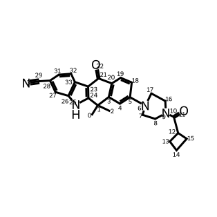 CC1(C)c2cc(N3CCN(C(=O)C4CCC4)CC3)ccc2C(=O)c2c1[nH]c1cc(C#N)ccc21